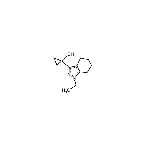 CCn1nc(C2(O)CC2)c2c1CCCC2